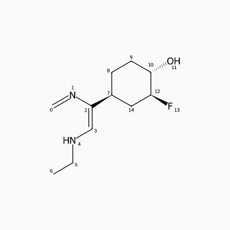 C=N/C(=C\NCC)[C@H]1CC[C@H](O)[C@@H](F)C1